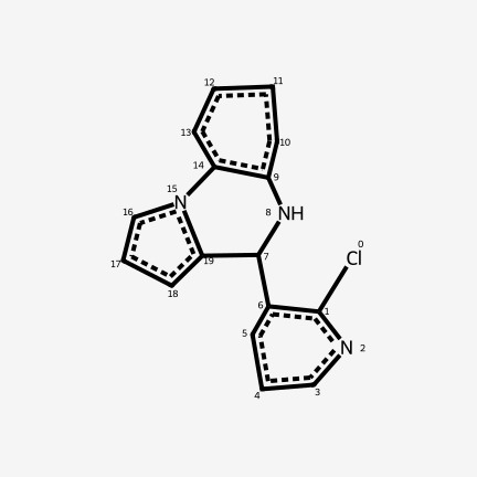 Clc1ncccc1C1Nc2ccccc2-n2cccc21